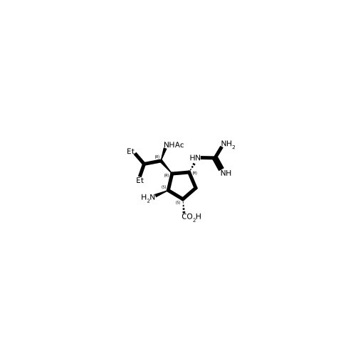 CCC(CC)[C@@H](NC(C)=O)[C@@H]1[C@H](N)[C@@H](C(=O)O)C[C@H]1NC(=N)N